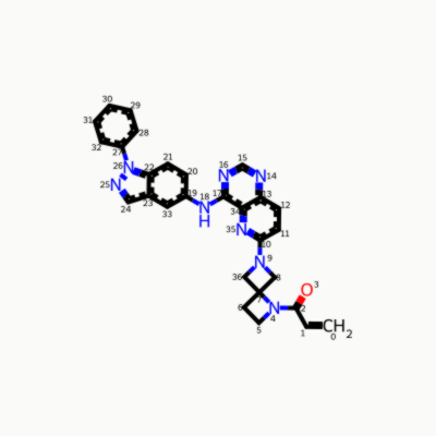 C=CC(=O)N1CCC12CN(c1ccc3ncnc(Nc4ccc5c(cnn5-c5ccccc5)c4)c3n1)C2